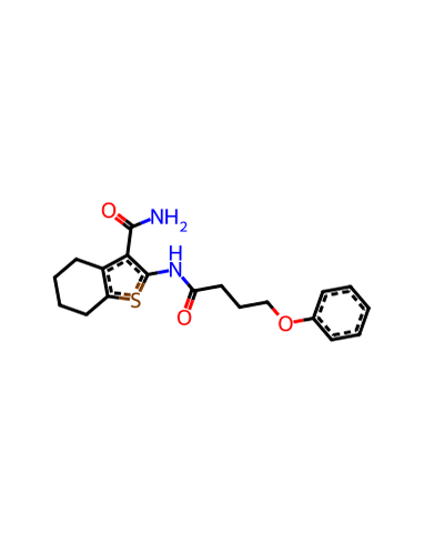 NC(=O)c1c(NC(=O)CCCOc2ccccc2)sc2c1CCCC2